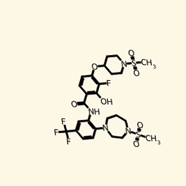 CS(=O)(=O)N1CCC(Oc2ccc(C(=O)Nc3cc(C(F)(F)F)ccc3N3CCCN(S(C)(=O)=O)CC3)c(O)c2F)CC1